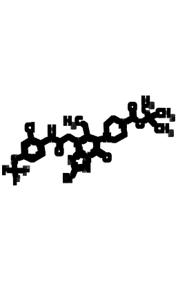 CCc1c(N2CCN(C(=O)OC(C)(C)C)CC2)c(=O)n2nc(Br)nc2n1CC(=O)Nc1ccc(SC(F)(F)F)cc1Cl